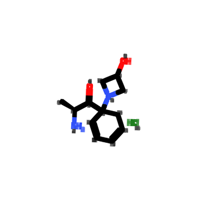 C[C@H](N)C(=O)C1(N2CC(O)C2)C=CC=CC1.Cl